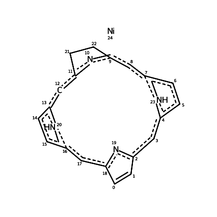 C1=Cc2cc3ccc(cc4nc(cc5ccc(cc1n2)[nH]5)CC4)[nH]3.[Ni]